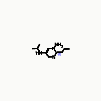 C=C/C=C1/N=CC(NC(C)C)=CN1N